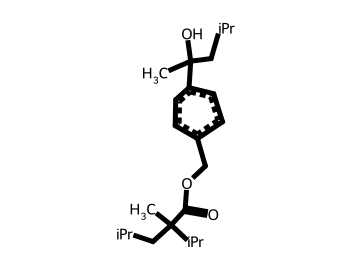 CC(C)CC(C)(O)c1ccc(COC(=O)C(C)(CC(C)C)C(C)C)cc1